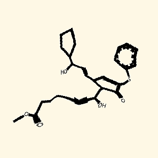 COC(=O)CCCC#CC(O)C1C(=O)C(Sc2ccccc2)=CC1C=CC(O)C1CCCC1